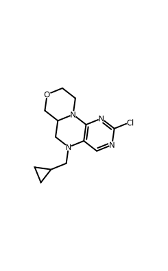 Clc1ncc2c(n1)N1CCOCC1CN2CC1CC1